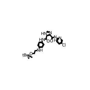 CC(C)(C)[Si](C)(C)OCCNc1ccc(NC(=O)c2[nH]cnc2C(=O)Nc2ccc(Cl)cn2)cc1